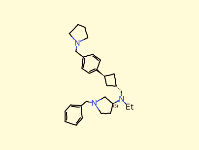 CCN(C[C@H]1C[C@H](c2ccc(CN3CCCC3)cc2)C1)[C@H]1CCN(Cc2ccccc2)C1